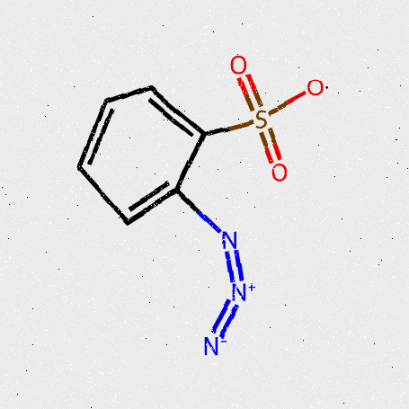 [N-]=[N+]=Nc1ccccc1S([O])(=O)=O